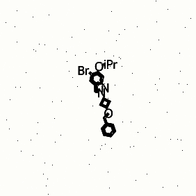 CC(C)Oc1cc2nn([C@H]3C[C@H](OCc4ccccc4)C3)cc2cc1Br